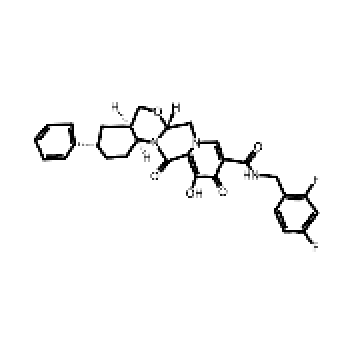 O=C(NCc1ccc(F)cc1F)c1cn2c(c(O)c1=O)C(=O)N1[C@@H](C2)OC[C@@H]2C[C@@H](c3ccccc3)CC[C@@H]21